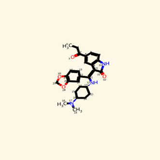 CCC(=O)c1ccc2c(c1)/C(=C(/N[C@H]1CC[C@H](N(C)C)CC1)c1ccc3c(c1)OCO3)C(=O)N2